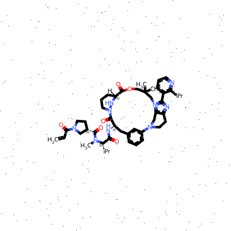 C=CC(=O)N1CC[C@H](C(=O)N(C)[C@H](C(=O)N[C@H]2Cc3cccc(c3)N3CCc4nc(-c5cccnc5C(C)C)n(c4C3)CC(C)(C)COC(=O)[C@@H]3CCCN(N3)C2=O)C(C)C)C1